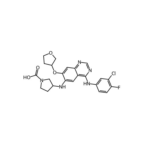 O=C(O)N1CCC(Nc2cc3c(Nc4ccc(F)c(Cl)c4)ncnc3cc2OC2CCOC2)C1